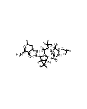 CCCC(NC(=O)[C@@H]1[C@@H]2[C@H](CN1C(=O)[C@@H](NC(=O)[C@H](CC(C)C)NS(C)(=O)=O)C(C)(C)C)C2(C)C)C(=O)C(N)=O